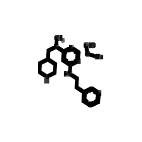 CC(C)(C)OC=O.CN(CC1CCNCC1)c1cc(NCCc2cccnc2)ncn1